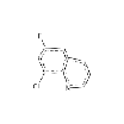 Fc1cc(Cl)c2ncccc2c1